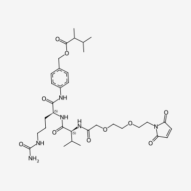 CC(C)C(C)C(=O)OCc1ccc(NC(=O)[C@H](CCCNC(N)=O)NC(=O)[C@@H](NC(=O)COCCOCCN2C(=O)C=CC2=O)C(C)C)cc1